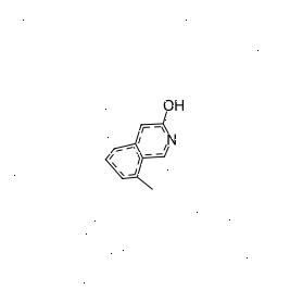 Cc1cccc2cc(O)ncc12